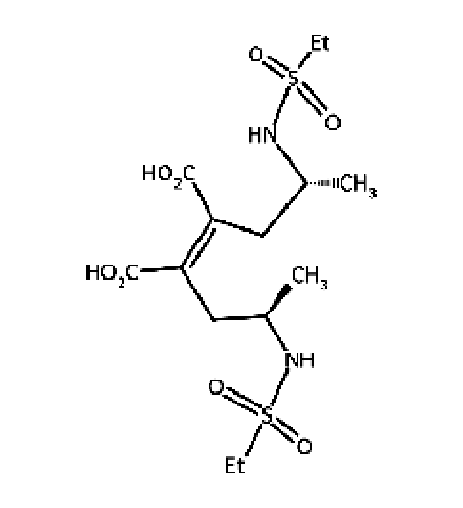 CCS(=O)(=O)N[C@H](C)CC(C(=O)O)=C(C[C@@H](C)NS(=O)(=O)CC)C(=O)O